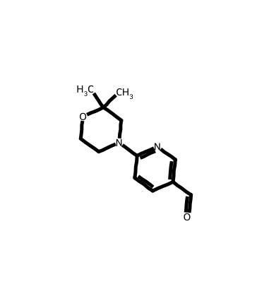 CC1(C)CN(c2ccc(C=O)cn2)CCO1